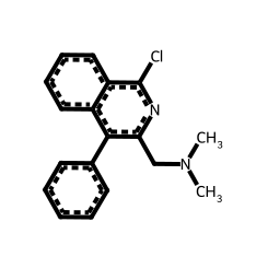 CN(C)Cc1nc(Cl)c2ccccc2c1-c1ccccc1